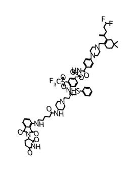 C=C(CCC(F)F)C1=C(CN2CCN(c3ccc(C(=O)NS(=O)(=O)c4ccc(N[C@H](CCN5CCC(NC(=O)CCCCNc6cccc7c6C(=O)N(C6CCC(=O)NC6=O)C7=O)CC5)CSc5ccccc5)c(S(=O)(=O)C(F)(F)F)c4)cc3)CC2)CCC(C)(C)C1